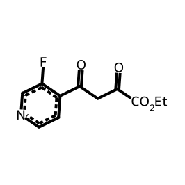 CCOC(=O)C(=O)CC(=O)c1ccncc1F